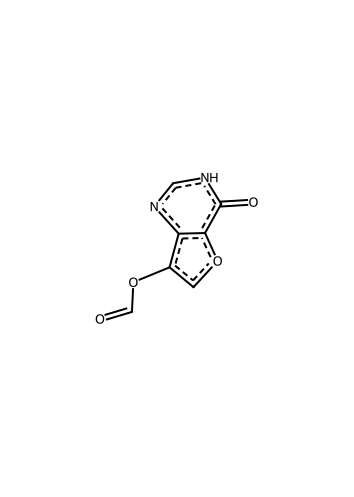 O=COc1coc2c(=O)[nH]cnc12